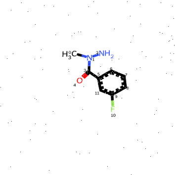 CN(N)C(=O)c1cccc(F)c1